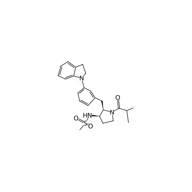 CC(C)C(=O)N1CC[C@@H](NS(C)(=O)=O)[C@H]1Cc1cccc(N2CCc3ccccc32)c1